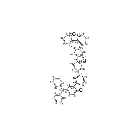 c1ccc(N(c2ccccc2)c2ccc3oc4ccc(-c5ccc6c(c5)oc5cc(-c7cccc8oc9ccccc9c78)ccc56)cc4c3c2)cc1